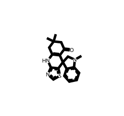 CN1CC2(C3=C(CC(C)(C)CC3=O)Nc3ncsc32)c2ccccc21